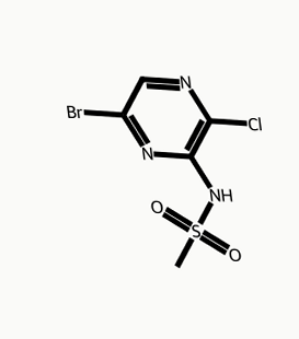 CS(=O)(=O)Nc1nc(Br)cnc1Cl